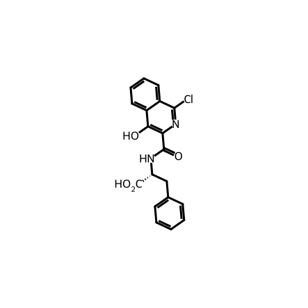 O=C(N[C@H](Cc1ccccc1)C(=O)O)c1nc(Cl)c2ccccc2c1O